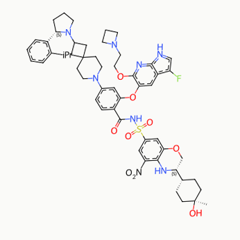 CC(C)c1ccccc1[C@@H]1CCCN1C1CC2(CCN(c3ccc(C(=O)NS(=O)(=O)c4cc5c(c([N+](=O)[O-])c4)N[C@@H]([C@H]4CC[C@](C)(O)CC4)CO5)c(Oc4cc5c(F)c[nH]c5nc4OCCN4CCC4)c3)CC2)C1